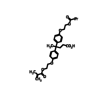 C=C(C)C(=O)OCCOc1ccc(C(C)(CCC(=O)O)c2ccc(OCCOC(=O)C(C)C)cc2)cc1